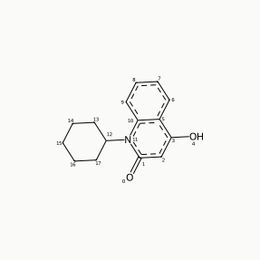 O=c1cc(O)c2ccccc2n1C1CCCCC1